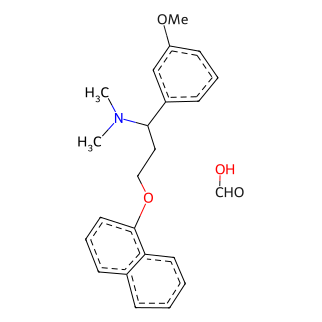 COc1cccc(C(CCOc2cccc3ccccc23)N(C)C)c1.O=CO